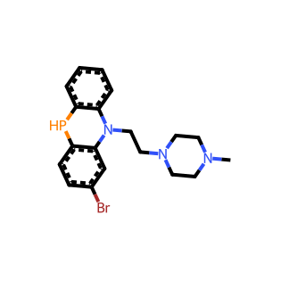 CN1CCN(CCN2c3ccccc3Pc3ccc(Br)cc32)CC1